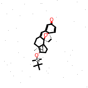 CC(C)(C)[Si](C)(C)O[C@H]1CC[C@@H]2[C@]1(C)CCC1=CC3=CC(=O)C=C[C@]34CC[C@@]12O4